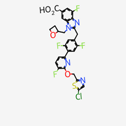 O=C(O)c1cc(F)c2nc(Cc3cc(F)c(-c4ccc(F)c(OCc5ncc(Cl)s5)n4)cc3F)n(CC3CCO3)c2c1